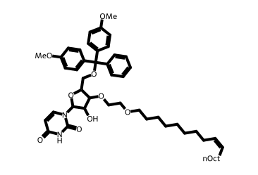 CCCCCCCC/C=C\CCCCCCCCOCCOC1C(COC(c2ccccc2)(c2ccc(OC)cc2)c2ccc(OC)cc2)OC(n2ccc(=O)[nH]c2=O)C1O